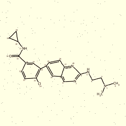 CN(C)CCNc1ncc2cc(-c3cc(C(=O)NC4CC4)ccc3Cl)ccc2n1